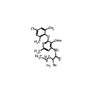 CCC(Nc1cc(C)nc(Oc2c(C)cc(Cl)cc2C)c1OC)C(O[SiH](C)C)C(C)(C)C